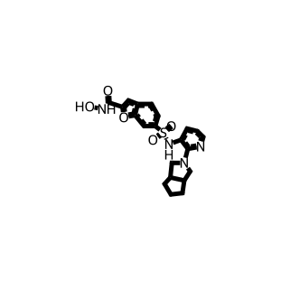 O=C(NO)c1cc2ccc(S(=O)(=O)Nc3cccnc3N3CC4CCCC4C3)cc2o1